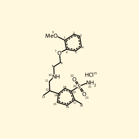 COc1ccccc1OCCNCC(C)c1ccc(C)c(S(N)(=O)=O)c1.Cl